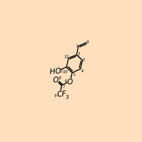 C=Cc1ccc(OC(=O)C(F)(F)F)c(O)c1